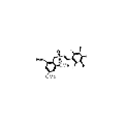 COc1cc(OC)c(CS(=O)(=O)C=Cc2c(F)c(F)c(F)c(F)c2F)c(OC)c1